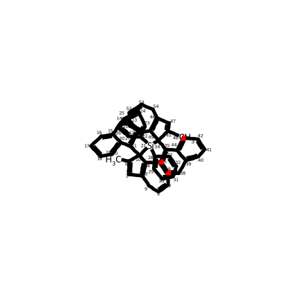 CC1=CC2=C(C=CC=CC2)C1(c1cccc2ccccc12)[Si](c1ccccc1)(c1ccccc1)C1(c2cccc3ccccc23)C(C)=CC2=C1C=CC=CC2